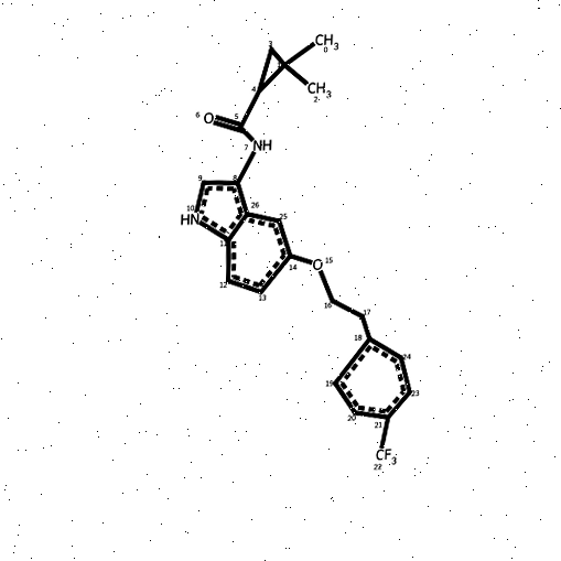 CC1(C)CC1C(=O)Nc1c[nH]c2ccc(OCCc3ccc(C(F)(F)F)cc3)cc12